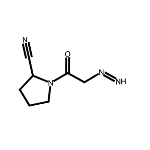 N#CC1CCCN1C(=O)CN=N